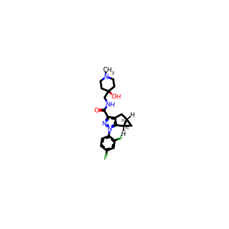 CN1CCC(O)(CNC(=O)c2nn(-c3ccc(F)cc3F)c3c2C[C@@H]2C[C@H]32)CC1